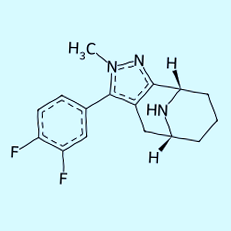 Cn1nc2c(c1-c1ccc(F)c(F)c1)C[C@H]1CCC[C@@H]2N1